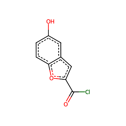 O=C(Cl)c1cc2cc(O)ccc2o1